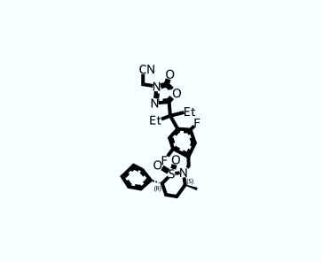 CCC(CC)(c1nn(CC#N)c(=O)o1)c1cc(F)c(CN2[C@@H](C)CC[C@H](c3ccccc3)S2(=O)=O)cc1F